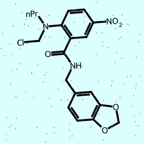 CCCN(CCl)c1ccc([N+](=O)[O-])cc1C(=O)NCc1ccc2c(c1)OCO2